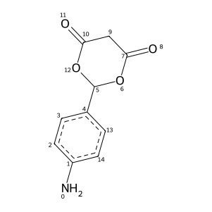 Nc1ccc(C2OC(=O)CC(=O)O2)cc1